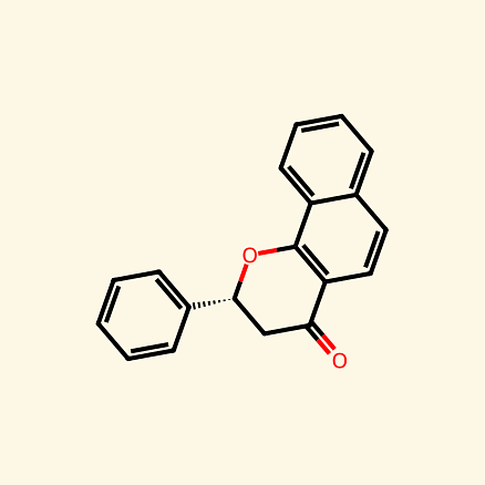 O=C1C[C@H](c2ccccc2)Oc2c1ccc1ccccc21